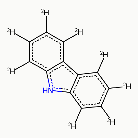 [2H]c1c([2H])c([2H])c2c([nH]c3c([2H])c([2H])c([2H])c([2H])c32)c1[2H]